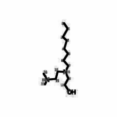 CCCCCCCCN(CCO)CCN(C)C